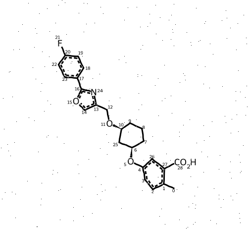 Cc1ccc(O[C@@H]2CCC[C@H](OCc3coc(-c4ccc(F)cc4)n3)C2)cc1C(=O)O